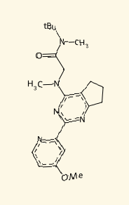 COc1ccnc(-c2nc3c(c(N(C)CC(=O)N(C)C(C)(C)C)n2)CCC3)c1